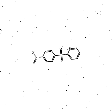 O=[N+]([O-])c1ccc(S(=O)(=O)c2ccccn2)cc1